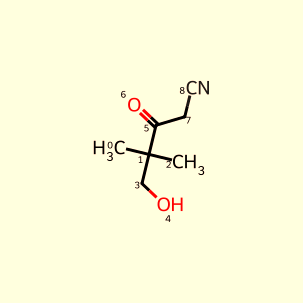 CC(C)(CO)C(=O)CC#N